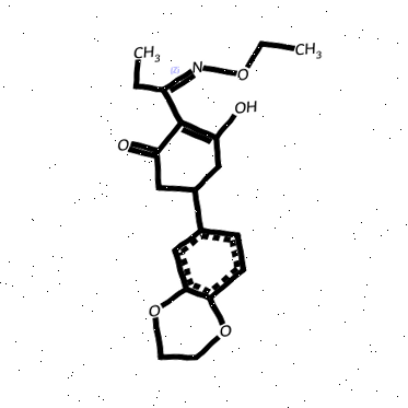 CCO/N=C(/CC)C1=C(O)CC(c2ccc3c(c2)OCCO3)CC1=O